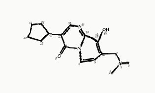 CN(C)Cc1ccn2c(=O)c(C3CCCC3)cnc2c1O